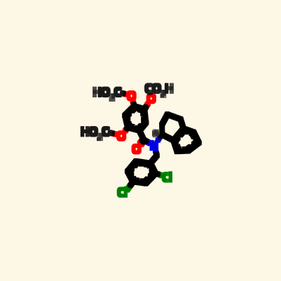 O=C(O)Oc1cc(OC(=O)O)c(C(=O)N(Cc2ccc(Cl)cc2Cl)[C@H]2CCCc3ccccc32)cc1OC(=O)O